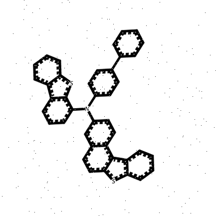 c1ccc(-c2ccc(N(c3ccc4c(ccc5sc6ccccc6c54)c3)c3cccc4c3sc3ccccc34)cc2)cc1